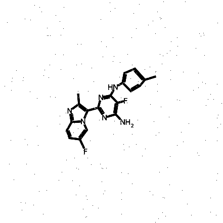 Cc1ccc(Nc2nc(-c3c(C)nc4ccc(F)cn34)nc(N)c2F)cc1